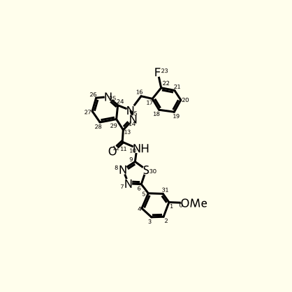 COc1cccc(-c2nnc(NC(=O)c3nn(Cc4ccccc4F)c4ncccc34)s2)c1